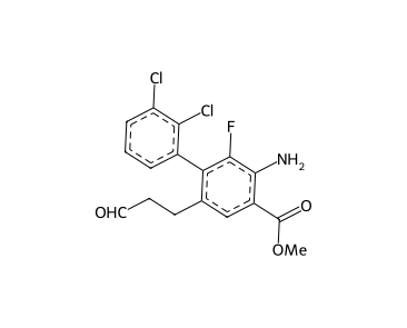 COC(=O)c1cc(CCC=O)c(-c2cccc(Cl)c2Cl)c(F)c1N